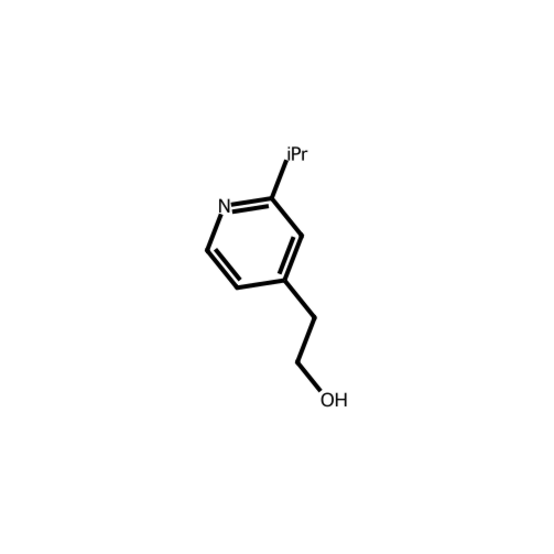 CC(C)c1cc(CCO)ccn1